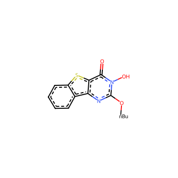 CCCCOc1nc2c(sc3ccccc32)c(=O)n1O